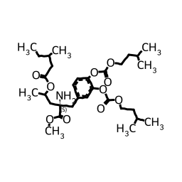 CCC(C)CC(=O)OC(C)C[C@@](N)(Cc1ccc(OC(=O)OCCC(C)C)c(OC(=O)OCCC(C)C)c1)C(=O)OC